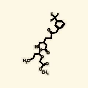 CCCC(OCC(=O)OC)N1NCC(CCC(=O)Cc2cccc(C(F)(F)F)c2)CC1=O